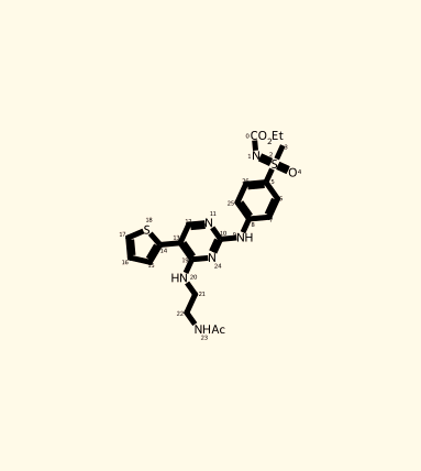 CCOC(=O)N=S(C)(=O)c1ccc(Nc2ncc(-c3cccs3)c(NCCNC(C)=O)n2)cc1